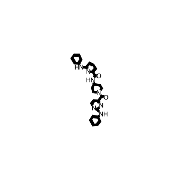 O=C(NC1CCN(C(=O)c2ccnc(Nc3ccccc3)n2)CC1)c1cccc(Nc2ccccc2)n1